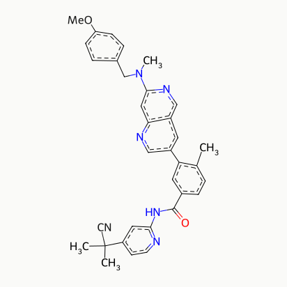 COc1ccc(CN(C)c2cc3ncc(-c4cc(C(=O)Nc5cc(C(C)(C)C#N)ccn5)ccc4C)cc3cn2)cc1